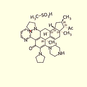 CC(=O)[C@H]1[C@H](C)C[C@H]2[C@@H]3CC(N4CCCC4)C4=C(c5ncccn5)C(=O)C(N5CCCC5)=C(N5CCNCC5)[C@]4(C)C3=CC[C@@]21C.CS(=O)(=O)O